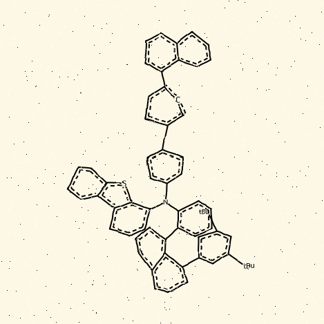 CC(C)(C)c1cc(-c2cccc3cccc(-c4ccccc4N(c4ccc(-c5ccc(-c6cccc7ccccc67)cc5)cc4)c4cccc5c4sc4ccccc45)c23)cc(C(C)(C)C)c1